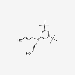 CC(C)(C)c1cc(N(CC=CO)CC=CO)cc(C(C)(C)C)c1